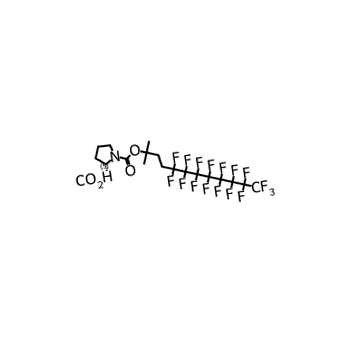 CC(C)(CCC(F)(F)C(F)(F)C(F)(F)C(F)(F)C(F)(F)C(F)(F)C(F)(F)C(F)(F)F)OC(=O)N1CCC[C@H]1C(=O)O